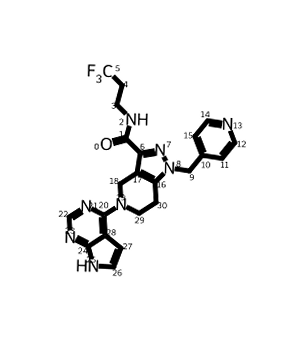 O=C(NCCC(F)(F)F)c1nn(Cc2ccncc2)c2c1CN(c1ncnc3[nH]ccc13)CC2